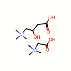 C[N+](C)(C)CC(=O)O.C[N+](C)(C)CC(O)CC(=O)O